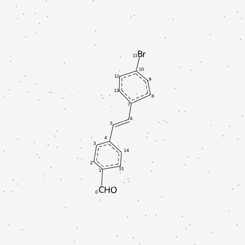 O=Cc1ccc(C=Cc2ccc(Br)cc2)cc1